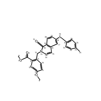 COC(=O)c1nc(OC)ccc1Cn1ncc2cc(Sc3ccc(C)cc3)ccc2c1=O